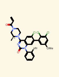 C=CC(=O)N1CCN(c2nc(=O)n(-c3ccccc3CCC)c3cc(-c4cc(OC)cc(Cl)c4Cl)c(Cl)cc23)[C@@H](C)C1